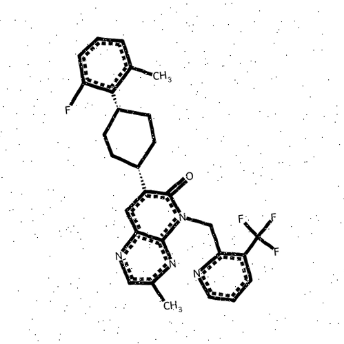 Cc1cnc2cc([C@H]3CC[C@@H](c4c(C)cccc4F)CC3)c(=O)n(Cc3ncccc3C(F)(F)F)c2n1